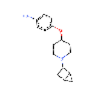 Nc1ccc(OC2CCN(C3CC4CC43)CC2)cc1